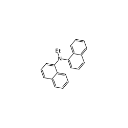 [CH2]CN(c1cccc2ccccc12)c1cccc2ccccc12